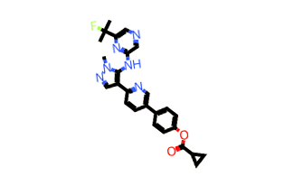 Cn1ncc(-c2ccc(-c3ccc(OC(=O)C4CC4)cc3)cn2)c1Nc1cncc(C(C)(C)F)n1